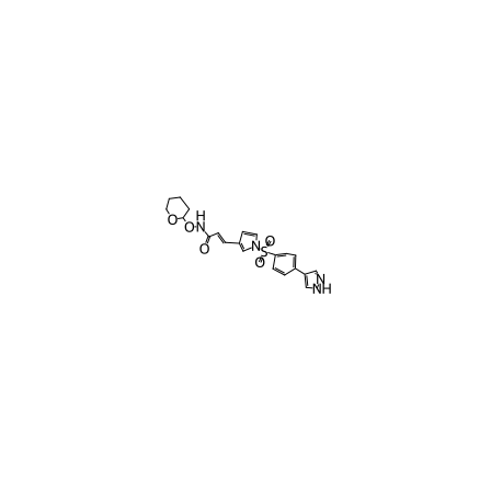 O=C(/C=C/c1ccn(S(=O)(=O)c2ccc(-c3cn[nH]c3)cc2)c1)NOC1CCCCO1